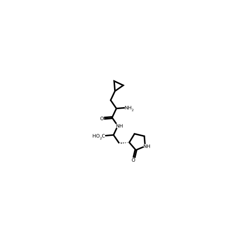 NC(CC1CC1)C(=O)NC(C[C@@H]1CCNC1=O)C(=O)O